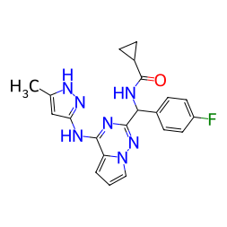 Cc1cc(Nc2nc(C(NC(=O)C3CC3)c3ccc(F)cc3)nn3cccc23)n[nH]1